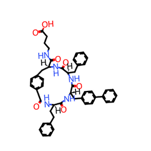 O=C(O)CCCNC(=O)[C@@H]1Cc2ccc(cc2)C(=O)N[C@H](CCc2ccccc2)C(=O)N[C@@H](Cc2ccc(-c3ccccc3)cc2)C(=O)N[C@H](Cc2ccccc2)C(=O)N1